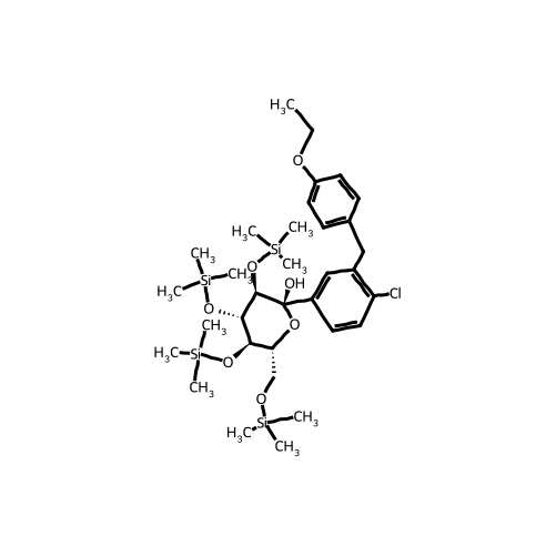 CCOc1ccc(Cc2cc([C@]3(O)O[C@H](CO[Si](C)(C)C)[C@@H](O[Si](C)(C)C)[C@H](O[Si](C)(C)C)[C@H]3O[Si](C)(C)C)ccc2Cl)cc1